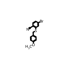 COc1ccc(CSc2cc(Br)ccc2C#N)cc1